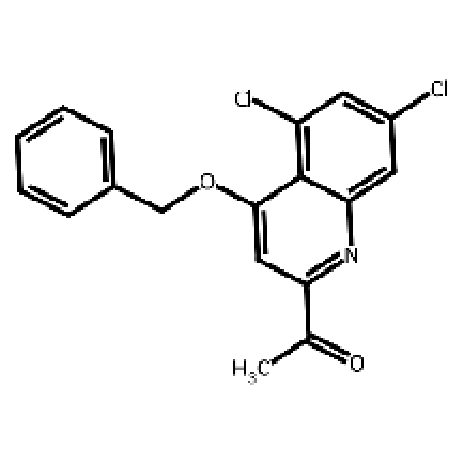 CC(=O)c1cc(OCc2ccccc2)c2c(Cl)cc(Cl)cc2n1